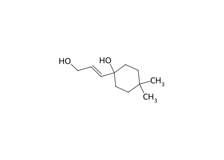 CC1(C)CCC(O)(/C=C/CO)CC1